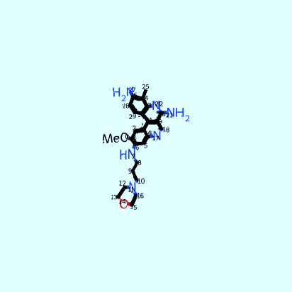 COc1cc2c(cc1NCCCN1CCOCC1)ncc1c(N)nc3c(C)c(N)ccc3c12